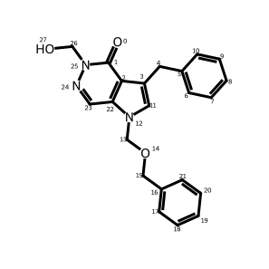 O=c1c2c(Cc3ccccc3)cn(COCc3ccccc3)c2cnn1CO